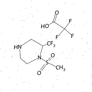 CS(=O)(=O)N1CCNCC1C(F)(F)F.O=C(O)C(F)(F)F